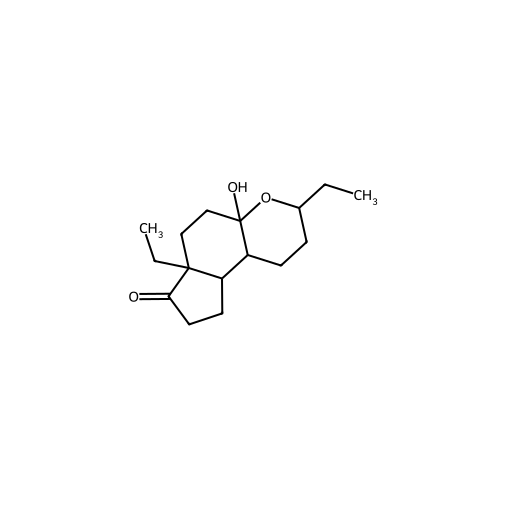 CCC1CCC2C3CCC(=O)C3(CC)CCC2(O)O1